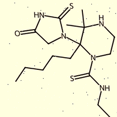 CCCCCC1(N2CC(=O)NC2=S)N(C(=S)NCC)CCNC1(C)C